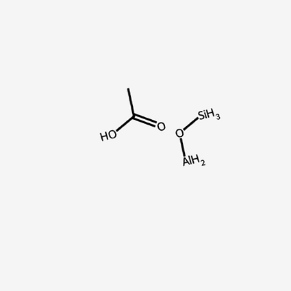 CC(=O)O.[AlH2][O][SiH3]